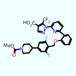 COC(=O)N1CCC(c2cc(F)c(COc3ccccc3-c3cccc(-n4ncc(C(=O)O)c4C(F)(F)F)n3)c(F)c2)CC1